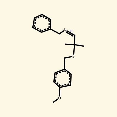 COc1ccc(CSC(C)(C)/C=N\Cc2ccccc2)cc1